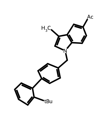 CC(=O)c1ccc2c(c1)c(C)cn2Cc1ccc(-c2ccccc2C(C)(C)C)cc1